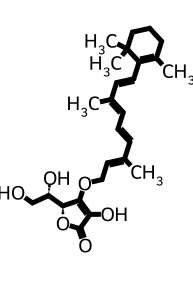 CC(C=CC1=C(C)CCCC1(C)C)=CC=CC(C)=CCOC1=C(O)C(=O)O[C@@H]1[C@@H](O)CO